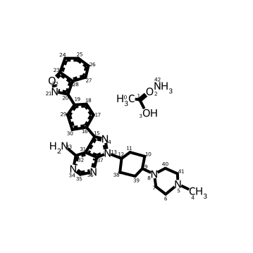 CC(=O)O.CN1CCN(C2CCC(n3nc(-c4ccc(-c5noc6ccccc56)cc4)c4c(N)ncnc43)CC2)CC1.N